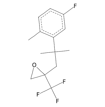 Cc1ccc(F)cc1C(C)(C)CC1(C(F)(F)F)CO1